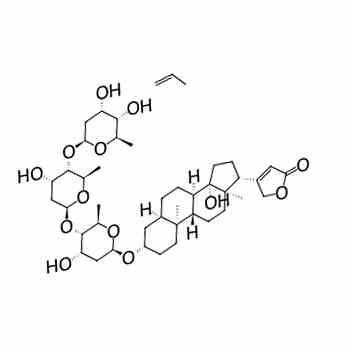 C=CC.C[C@H]1O[C@@H](O[C@H]2[C@@H](O)C[C@H](O[C@H]3[C@@H](O)C[C@H](O[C@H]4CC[C@@]5(C)[C@H](CC[C@@H]6[C@@H]5CC[C@]5(C)[C@@H](C7=CC(=O)OC7)CC[C@]65O)C4)O[C@@H]3C)O[C@@H]2C)C[C@H](O)[C@@H]1O